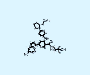 COC[C@@H]1CCCN1c1ccc(Nc2cc(-c3ccc4cc(C#N)cnn34)ncc2C(=O)NCC(F)C(C)(C)O)cn1